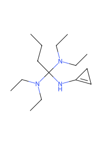 CCCC(NC1=CC1)(N(CC)CC)N(CC)CC